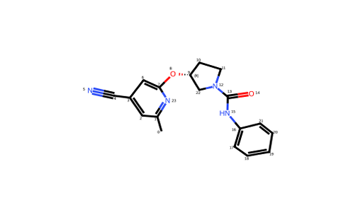 Cc1cc(C#N)cc(O[C@@H]2CCN(C(=O)Nc3ccccc3)C2)n1